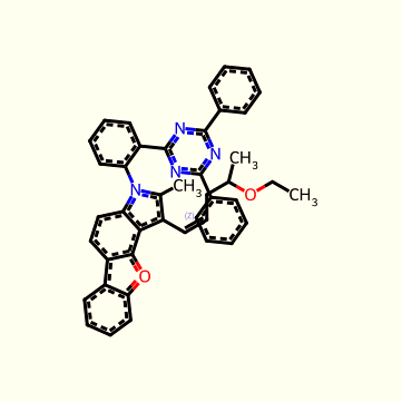 CCOC(C)C/C=C\c1c(C)n(-c2ccccc2-c2nc(-c3ccccc3)nc(-c3ccccc3)n2)c2ccc3c4ccccc4oc3c12